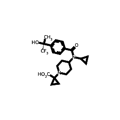 C[C@](O)(c1ccc(C(=O)N(C2CC2)C2CCN(C3(C(=O)O)CC3)CC2)cc1)C(F)(F)F